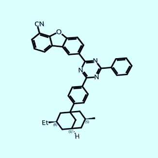 CC[C@@H]1C[C@@H]2C[C@H](C)CC(c3ccc(-c4nc(-c5ccccc5)nc(-c5ccc6oc7c(C#N)cccc7c6c5)n4)cc3)(C1)C2